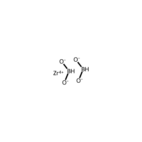 [O-]B[O-].[O-]B[O-].[Zr+4]